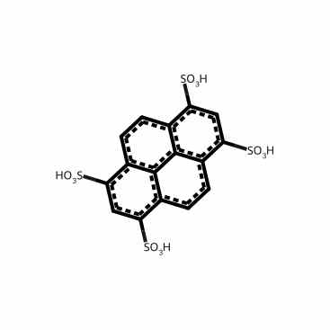 O=S(=O)(O)c1cc(S(=O)(=O)O)c2ccc3c(S(=O)(=O)O)cc(S(=O)(=O)O)c4ccc1c2c43